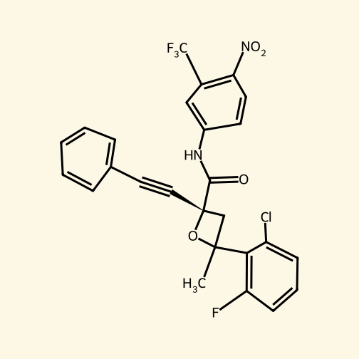 CC1(c2c(F)cccc2Cl)C[C@@](C#Cc2ccccc2)(C(=O)Nc2ccc([N+](=O)[O-])c(C(F)(F)F)c2)O1